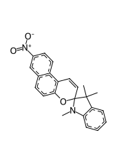 CN1c2ccccc2C(C)(C)C12C=Cc1c(ccc3cc([N+](=O)[O-])ccc13)O2